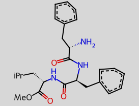 COC(=O)[C@H](CC(C)C)NC(=O)[C@H](Cc1ccccc1)NC(=O)[C@@H](N)Cc1ccccc1